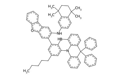 CCCCCc1cc(-c2cc3oc4ccccc4c3cc2Nc2ccc3c(c2)C(C)(C)CCC3(C)C)c2c(c1)N1c3ccccc3C(c3ccccc3)(c3ccccc3)c3cccc(c31)B2